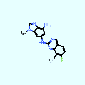 Cc1c(F)ccc2cnc(Nc3cc(N)c4ncn(C)c4c3)nc12